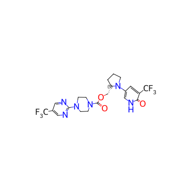 O=C(OC[C@@H]1CCCN1c1c[nH]c(=O)c(C(F)(F)F)c1)N1CCN(c2ncc(C(F)(F)F)cn2)CC1